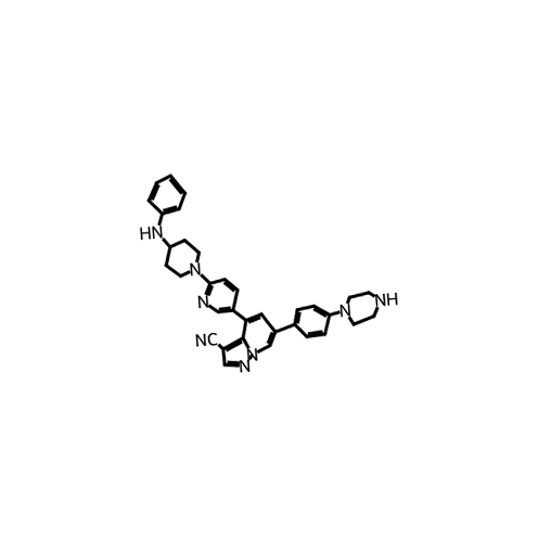 N#Cc1cnn2cc(-c3ccc(N4CCNCC4)cc3)cc(-c3ccc(N4CCC(Nc5ccccc5)CC4)nc3)c12